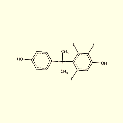 CC(C)(c1ccc(O)cc1)c1c(I)cc(O)c(I)c1I